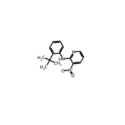 CC(C)(C)c1ccccc1Nc1ncccc1[N+](=O)[O-]